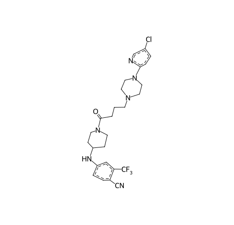 N#Cc1ccc(NC2CCN(C(=O)CCCN3CCN(c4ccc(Cl)cn4)CC3)CC2)cc1C(F)(F)F